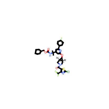 CC(C)(NC(=O)OCc1ccccc1)c1cc(OC2[C@H]3CN(C(=O)c4sc(Cl)nc4C(F)F)C[C@@H]23)nc(-c2ccc(F)cc2)c1